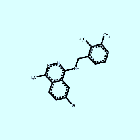 Cc1cccc(CNc2nnc(C)c3ccc(Br)cc23)c1C